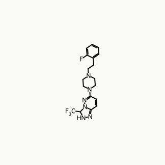 Fc1ccccc1CCN1CCN(C2=NN3C(=NNC3C(F)(F)F)C=C2)CC1